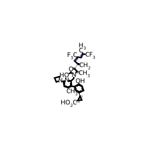 C=C(/C=C(\C=C(/C)C(F)(F)F)C(F)(F)F)[C@H]1OC(O)N(Cc2nc(N3CCC3)cc(C)c2-c2cc([C@H]3C[C@@H]3C(=O)O)ccc2O)[C@H]1C